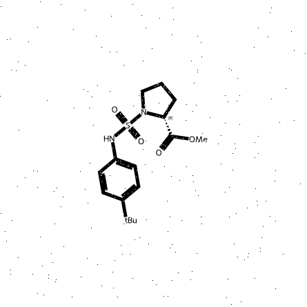 COC(=O)[C@H]1CCCN1S(=O)(=O)Nc1ccc(C(C)(C)C)cc1